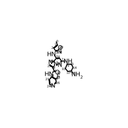 Cc1cc(Nc2cc(N[C@H]3CC[C@H](N)CC3)nn3c(C(=O)Nc4ccncc4F)cnc23)no1